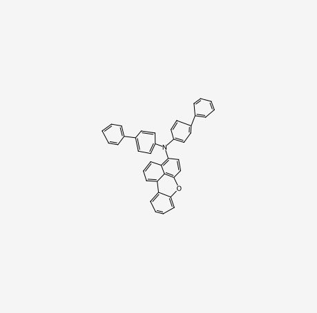 c1ccc(-c2ccc(N(c3ccc(-c4ccccc4)cc3)c3ccc4c5c(cccc35)-c3ccccc3O4)cc2)cc1